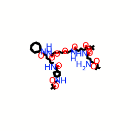 CC(C)(C)OC(=O)Nc1ccc(C(=O)NCCCCC(NC(=O)COCCOCCNC(=O)CCC(NC(=O)CCC(N)C(=O)OC(C)(C)C)C(=O)OC(C)(C)C)C(=O)Nc2ccccccccc2)cc1